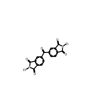 CCN1C(=O)c2ccc(C(=O)c3ccc4c(c3)C(=O)N(CC)C4=O)cc2C1=O